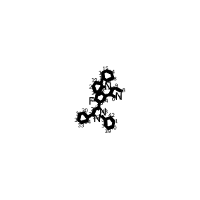 Fc1ccc(-c2cnccc2-n2c3ccccc3c3ccccc32)cc1-c1cc(-c2ccccc2)nc(-c2ccccc2)n1